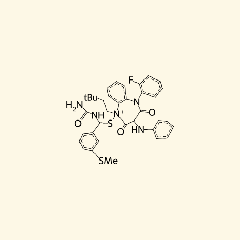 CSc1cccc(C(NC(N)=O)S[N+]2(CCC(C)(C)C)C(=O)C(Nc3ccccc3)C(=O)N(c3ccccc3F)c3ccccc32)c1